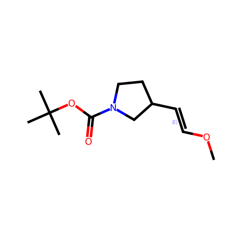 CO/C=C/C1CCN(C(=O)OC(C)(C)C)C1